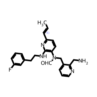 C/C=C/c1ccc(N(C=O)Cc2cccnc2CN)c(NCCc2cccc(F)c2)n1